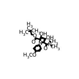 COc1ccc(-n2c(C(=O)OCC(C)(C)C)c(O)c(O)c2C(=O)N(C)C)cc1